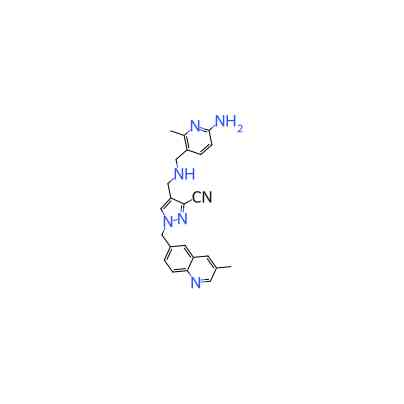 Cc1cnc2ccc(Cn3cc(CNCc4ccc(N)nc4C)c(C#N)n3)cc2c1